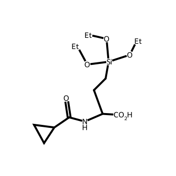 CCO[Si](CCC(NC(=O)C1CC1)C(=O)O)(OCC)OCC